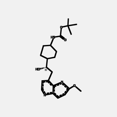 COc1ccc2nccc(C[C@H](O)C3CCC(NC(=O)OC(C)(C)C)CC3)c2n1